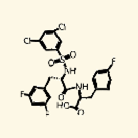 O=C(O)[C@H](Cc1ccc(F)cc1)NC(=O)[C@H](Cc1cc(F)cc(F)c1)NS(=O)(=O)c1cc(Cl)cc(Cl)c1